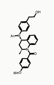 COc1ccc(C(=O)N2c3ccccc3[C@H](N(C(C)=O)c3ccc(CCO)cc3)C[C@@H]2C)cc1